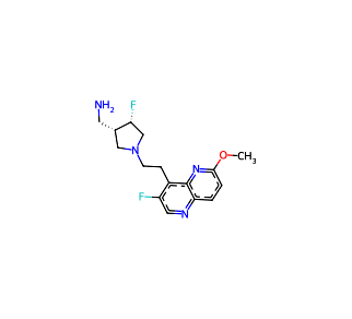 COc1ccc2ncc(F)c(CCN3C[C@H](CN)[C@H](F)C3)c2n1